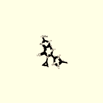 CSc1nc2c(=O)n(C3CC3)c(-c3nc(C)no3)nc2s1